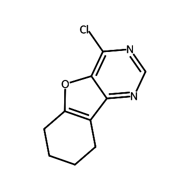 Clc1ncnc2c3c(oc12)CCCC3